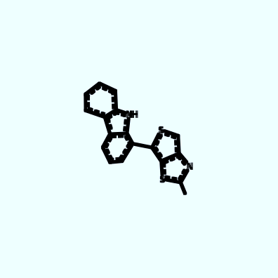 Cc1nc2csc(-c3cccc4c3[nH]c3ccccc34)c2s1